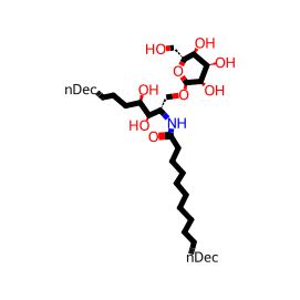 CCCCCCCCCCCCCCCCCCCC(=O)N[C@@H](CO[C@H]1O[C@H](CO)[C@@H](O)[C@H](O)[C@H]1O)[C@H](O)[C@H](O)CCCCCCCCCCCCC